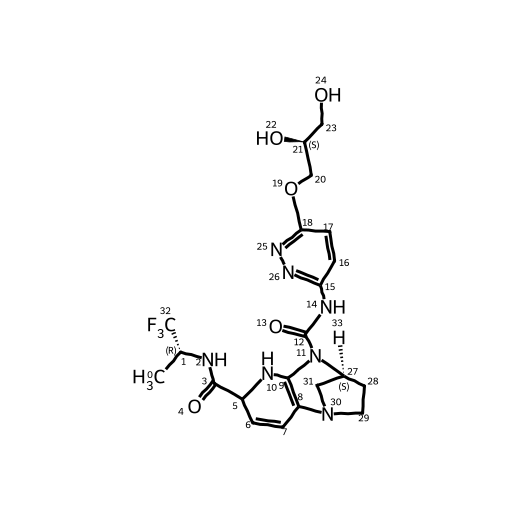 C[C@@H](NC(=O)C1C=CC2=C(N1)N(C(=O)Nc1ccc(OC[C@@H](O)CO)nn1)[C@H]1CCN2C1)C(F)(F)F